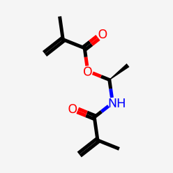 C=C(C)C(=O)N[C@H](C)OC(=O)C(=C)C